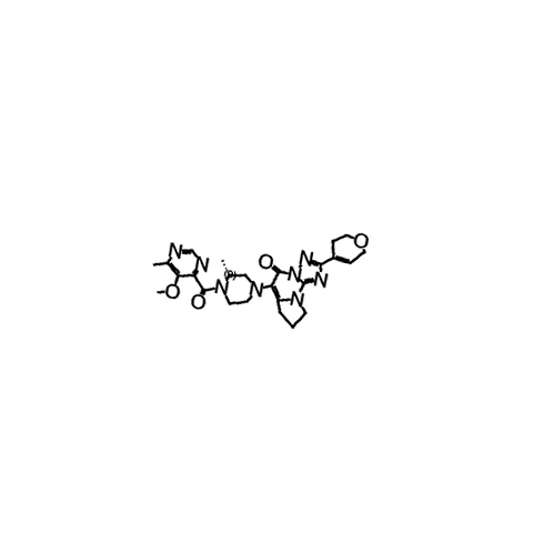 COc1c(C)ncnc1C(=O)N1CCN(c2c3n(c4nc(C5=CCOCC5)nn4c2=O)CCC3)C[C@H]1C